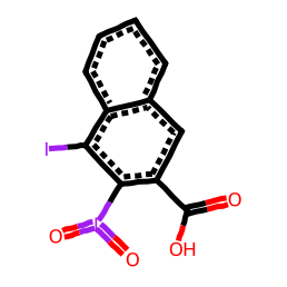 O=C(O)c1cc2ccccc2c(I)c1I(=O)=O